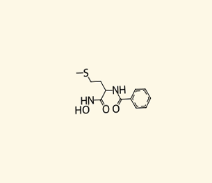 CSCCC(NC(=O)c1ccccc1)C(=O)NO